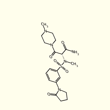 CN1CCN(C(=O)[C@H](C(N)=O)N(C)S(=O)(=O)c2cccc(N3CCCC3=O)c2)CC1